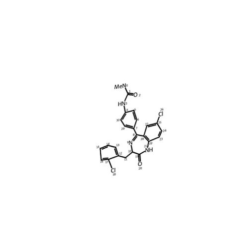 CNC(=O)Nc1ccc(C2=NC(Cc3ccccc3Cl)C(=O)Nc3ccc(Cl)cc32)cc1